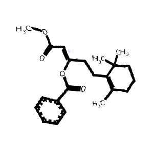 COC(=O)/C=C(/CCC1=C(C)CCCC1(C)C)OC(=O)c1ccccc1